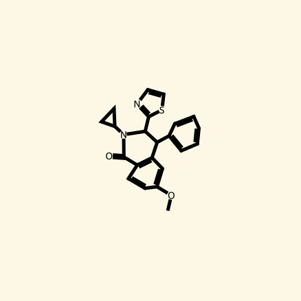 COc1ccc2c(c1)C(c1ccccc1)C(c1nccs1)N(C1CC1)C2=O